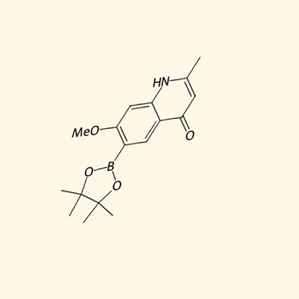 COc1cc2[nH]c(C)cc(=O)c2cc1B1OC(C)(C)C(C)(C)O1